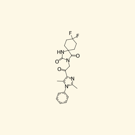 Cc1nc(C(=O)CN2C(=O)NC3(CCC(F)(F)CC3)C2=O)c(C)n1-c1ccccc1